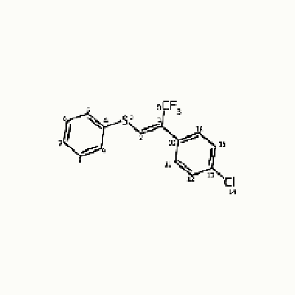 FC(F)(F)/C(=C\Sc1ccccc1)c1ccc(Cl)cc1